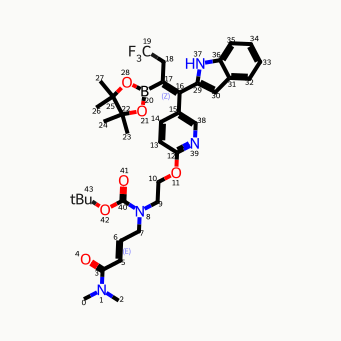 CN(C)C(=O)/C=C/CN(CCOc1ccc(/C(=C(/CC(F)(F)F)B2OC(C)(C)C(C)(C)O2)c2cc3ccccc3[nH]2)cn1)C(=O)OC(C)(C)C